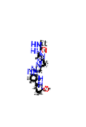 CCNC(=O)Nc1cn2nc(Cn3nnc4ccc(-c5cccc(=O)[nH]5)cc43)ccc2n1